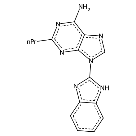 CCCc1nc(N)c2ncn(-c3nc4ccccc4[nH]3)c2n1